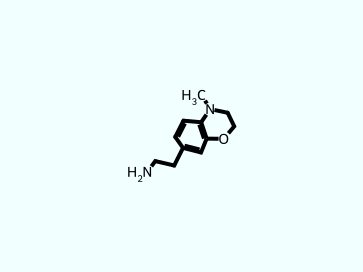 CN1CCOc2cc(CCN)ccc21